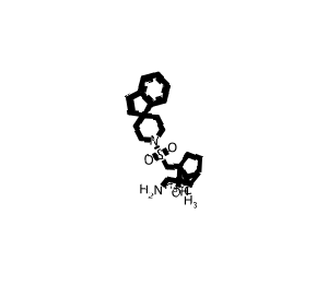 CC1(C)C2CCC1(CS(=O)(=O)N1CCC3(C=Cc4ccccc43)CC1)C(O)(CN)C2